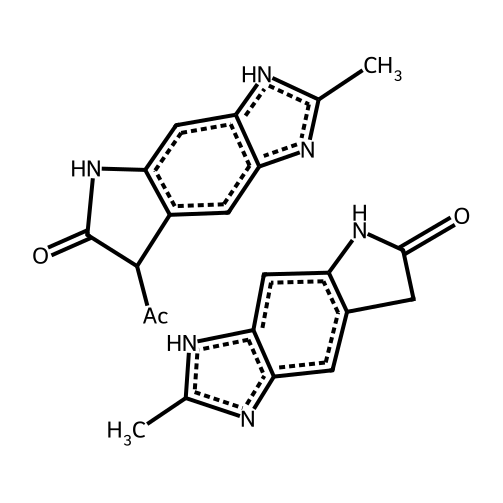 CC(=O)C1C(=O)Nc2cc3[nH]c(C)nc3cc21.Cc1nc2cc3c(cc2[nH]1)NC(=O)C3